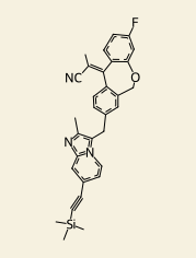 C/C(C#N)=C1/c2ccc(Cc3c(C)nc4cc(C#C[Si](C)(C)C)ccn34)cc2COc2cc(F)ccc21